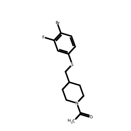 CC(=O)N1CCC(CSc2ccc(Br)c(F)c2)CC1